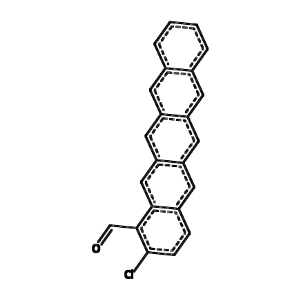 O=Cc1c(Cl)ccc2cc3cc4cc5ccccc5cc4cc3cc12